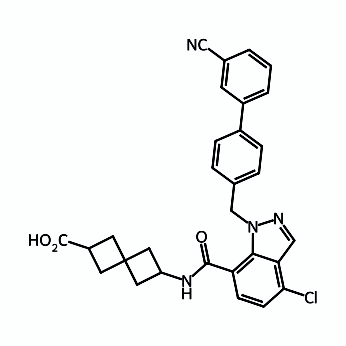 N#Cc1cccc(-c2ccc(Cn3ncc4c(Cl)ccc(C(=O)NC5CC6(C5)CC(C(=O)O)C6)c43)cc2)c1